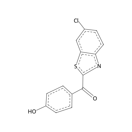 O=C(c1ccc(O)cc1)c1nc2ccc(Cl)cc2s1